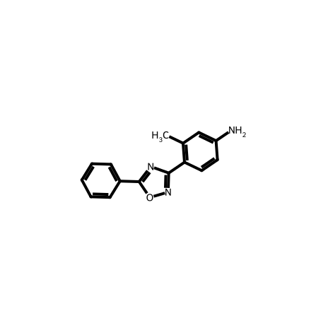 Cc1cc(N)ccc1-c1noc(-c2ccccc2)n1